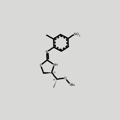 Cc1cc([N+](=O)[O-])ccc1N=C1N[C@@H]([C@@H](C)OC(C)(C)C)CS1